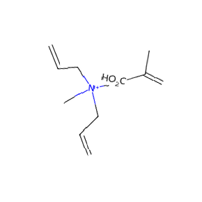 C=C(C)C(=O)O.C=CC[N+](C)(C)CC=C